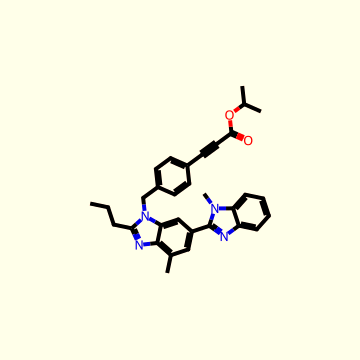 CCCc1nc2c(C)cc(-c3nc4ccccc4n3C)cc2n1Cc1ccc(C#CC(=O)OC(C)C)cc1